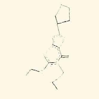 CCCn1c(OCC)nc2nc(C3CCCC3)[nH]c2c1=O